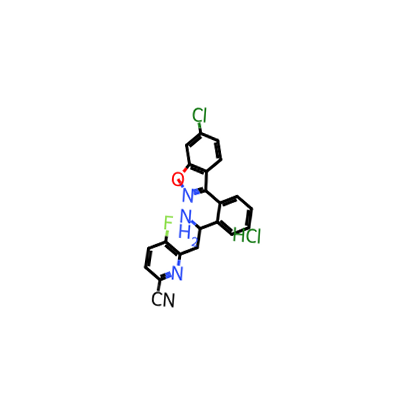 Cl.N#Cc1ccc(F)c(CC(N)c2ccccc2-c2noc3cc(Cl)ccc23)n1